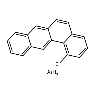 Clc1cccc2ccc3cc4ccccc4cc3c12.[AsH3]